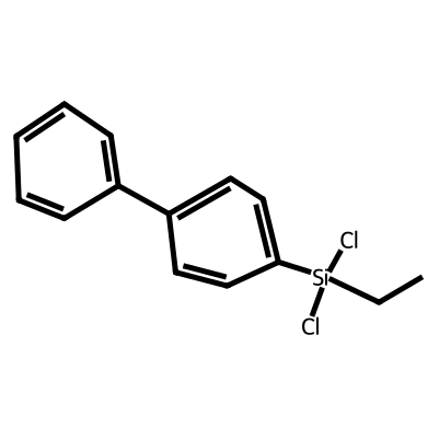 CC[Si](Cl)(Cl)c1ccc(-c2ccccc2)cc1